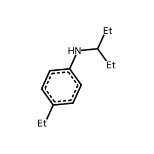 CCc1ccc(NC(CC)CC)cc1